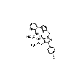 O=C(O)Nc1ncccc1-n1cnc(Cn2nc(-c3ccc(Cl)cc3)n(CC(O)C(F)(F)F)c2=O)n1